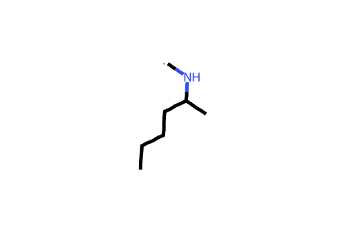 [CH2]NC(C)CCCC